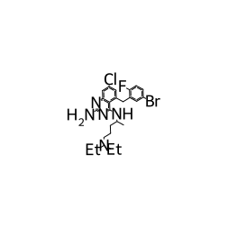 CCN(CC)CCCC(C)Nc1nc(N)nc2cc(Cl)cc(Cc3cc(Br)ccc3F)c12